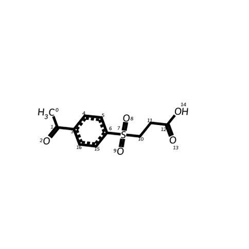 CC(=O)c1ccc(S(=O)(=O)CCC(=O)O)cc1